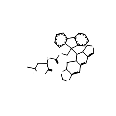 CC(C)CC(NC(=O)OCC1(C2C3COC=C3C=C3C=C4OCOC4CC32)c2ccccc2-c2ccccc21)C(=O)O